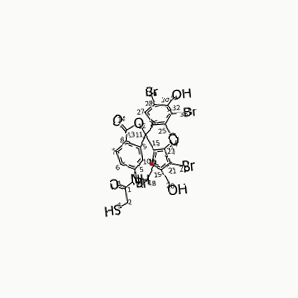 O=C(CS)Nc1ccc2c(c1)C1(OC2=O)c2cc(Br)c(O)c(Br)c2Oc2c1cc(Br)c(O)c2Br